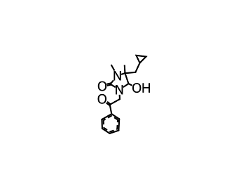 CN1C(=O)N(CC(=O)c2ccccc2)C(O)C1(C)CC1CC1